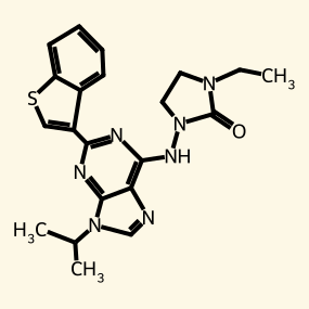 CCN1CCN(Nc2nc(-c3csc4ccccc34)nc3c2ncn3C(C)C)C1=O